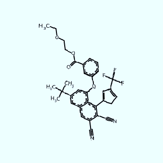 CCOCCOC(=O)c1cccc(Oc2cc(C(C)(C)C)cc3cc(C#N)c(C#N)c(C4=CC(C(F)(F)F)=CC4)c23)c1